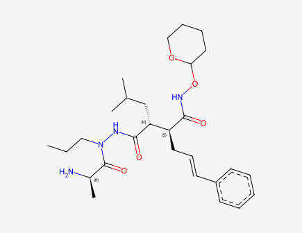 CCCN(NC(=O)[C@H](CC(C)C)[C@H](CC=Cc1ccccc1)C(=O)NOC1CCCCO1)C(=O)[C@@H](C)N